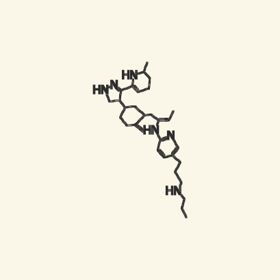 C=C1CCC(C2CNN=C2C2=CCCC(C)N2)CC1C/C(=C\C)Nc1ccc(CCCNCCC)cn1